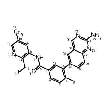 Cc1ccc(C(=O)Nc2cc(C(F)(F)F)cnc2CI)cc1-c1ccc2nc(N)ncc2c1